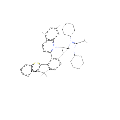 Cc1cc(C)c2ccc3[n+](c2c1)C1C(c2ccc4c(c2-3)-c2sc3ccccc3c2C4(C)C)C12N(C1CCCCC1)C(C(C)C)=[N+]2C1CCCCC1